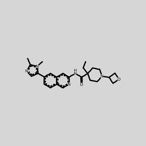 CCC1(C(=O)Nc2cc3cc(-c4cnc(C)n4C)ccc3cn2)CCN(C2COC2)CC1